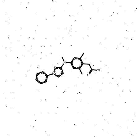 Cc1cc(N(C)c2ccn(-c3ccccc3)n2)cc(C)c1CC(=O)O